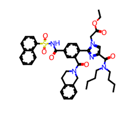 CCCCN(CCCC)C(=O)c1cn(CC(=O)OCC)c(-c2ccc(C(=O)NS(=O)(=O)c3cccc4ccccc34)cc2C(=O)N2CCc3ccccc3C2)n1